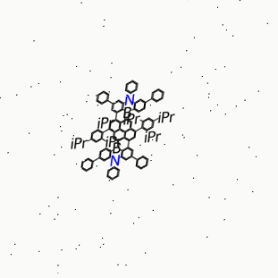 CC(C)c1cc(C(C)C)c(-c2cc3c4c(cc5c(-c6c(C(C)C)cc(C(C)C)cc6C(C)C)cc6c7c(cc2c4c57)B2c4ccc(-c5ccccc5)cc4N(c4ccccc4)c4cc(-c5ccccc5)cc-6c42)B2c4ccc(-c5ccccc5)cc4N(c4ccccc4)c4cc(-c5ccccc5)cc-3c42)c(C(C)C)c1